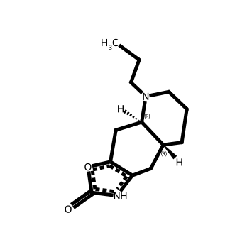 CCCN1CCC[C@@H]2Cc3[nH]c(=O)oc3C[C@H]21